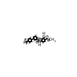 COC(=O)c1ccc(NS(=O)(=O)c2cccc(-c3ccc(C(F)(F)F)cc3)c2)cc1O